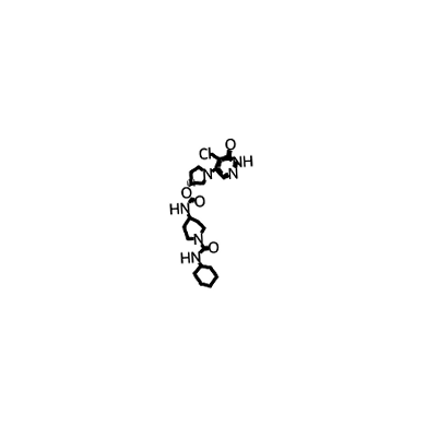 O=C(NC1CCN(C(=O)NC2CCCCC2)CC1)O[C@@H]1CCN(c2cn[nH]c(=O)c2Cl)C1